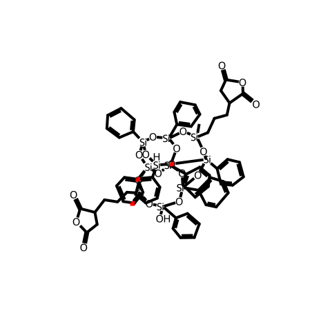 C[Si]1(CCCC2CC(=O)OC2=O)O[Si](O)(c2ccccc2)O[Si]2(c3ccccc3)O[Si]3(c4ccccc4)O[SiH](c4ccccc4)O[Si]4(c5ccccc5)O[Si](c5ccccc5)(O1)O[Si](c1ccccc1)(O[Si](c1ccccc1)(O[Si](C)(CCCC1CC(=O)OC1=O)O3)O4)O2